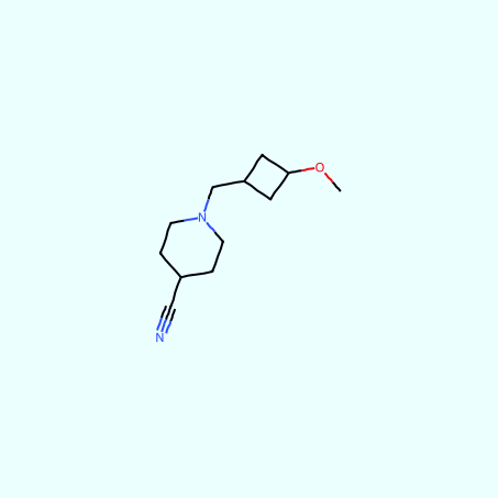 COC1CC(CN2CCC(C#N)CC2)C1